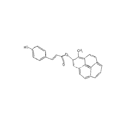 Cc1c(OC(=O)C=Cc2ccc(O)cc2)cc2ccc3cccc4ccc1c2c34